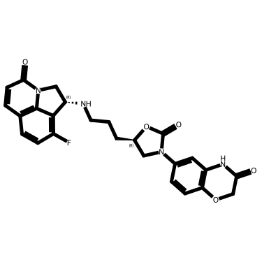 O=C1COc2ccc(N3C[C@@H](CCCN[C@H]4Cn5c(=O)ccc6ccc(F)c4c65)OC3=O)cc2N1